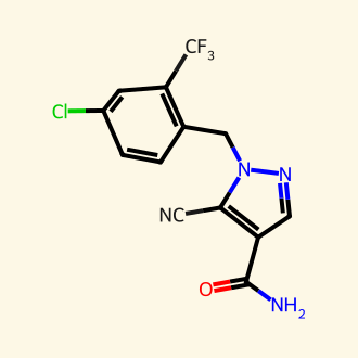 N#Cc1c(C(N)=O)cnn1Cc1ccc(Cl)cc1C(F)(F)F